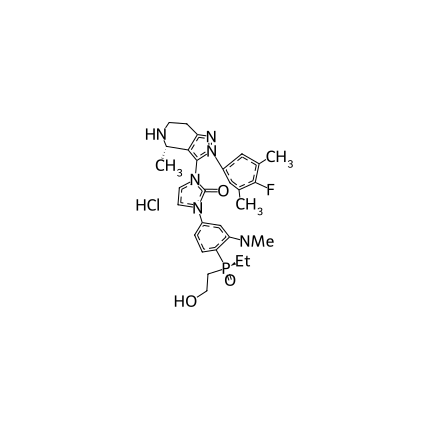 CC[P@@](=O)(CCO)c1ccc(-n2ccn(-c3c4c(nn3-c3cc(C)c(F)c(C)c3)CCN[C@H]4C)c2=O)cc1NC.Cl